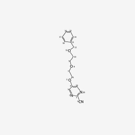 N#Cc1ncc(OCCOCCOCc2ccccc2)cn1